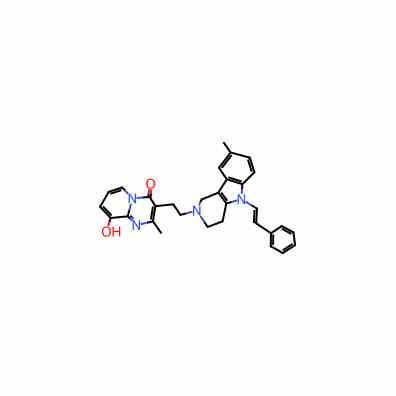 Cc1ccc2c(c1)c1c(n2C=Cc2ccccc2)CCN(CCc2c(C)nc3c(O)cccn3c2=O)C1